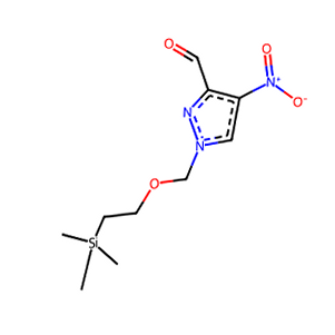 C[Si](C)(C)CCOCn1cc([N+](=O)[O-])c(C=O)n1